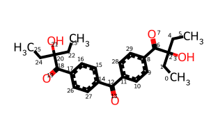 CCC(O)(CC)C(=O)c1ccc(C(=O)c2ccc(C(=O)C(O)(CC)CC)cc2)cc1